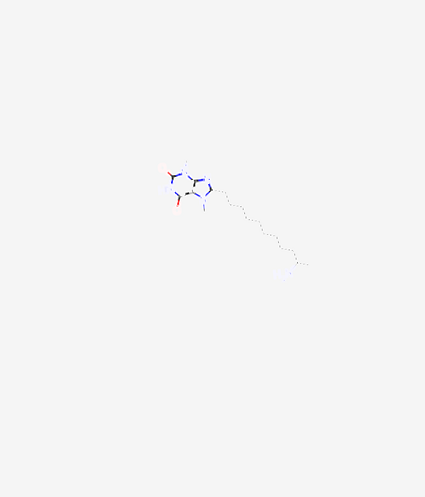 CC(N)CCCCCCCCCc1nc2c(c(=O)[nH]c(=O)n2C)n1C